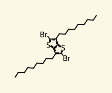 CCCCCCCCCc1c(Br)sc2c(CCCCCCCCC)c(Br)sc12